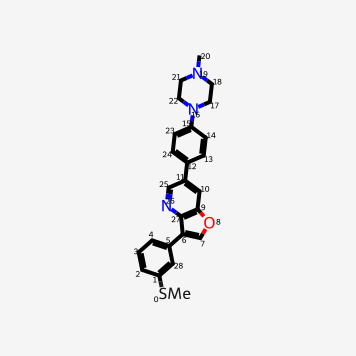 CSc1cccc(-c2coc3cc(-c4ccc(N5CCN(C)CC5)cc4)cnc23)c1